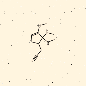 CNC1=CCC(CC#N)C1(NC)NC